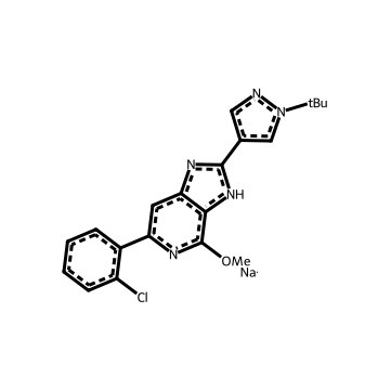 COc1nc(-c2ccccc2Cl)cc2nc(-c3cnn(C(C)(C)C)c3)[nH]c12.[Na]